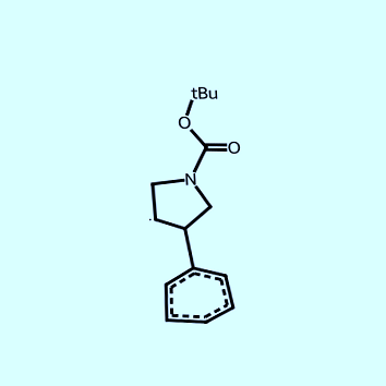 CC(C)(C)OC(=O)N1C[CH]C(c2ccccc2)C1